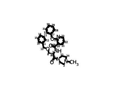 CN1CCN(C(=O)[C@@H](COCc2ccccc2)NC(=O)c2cccnc2Oc2ccccc2)CC1